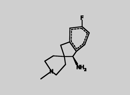 CN1CCC2(CC1)Cc1cc(F)ccc1[C@H]2N